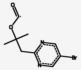 CC(C)(Cc1ncc(Br)cn1)O[C]=O